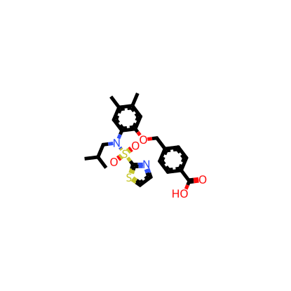 Cc1cc(OCc2ccc(C(=O)O)cc2)c(N(CC(C)C)S(=O)(=O)c2nccs2)cc1C